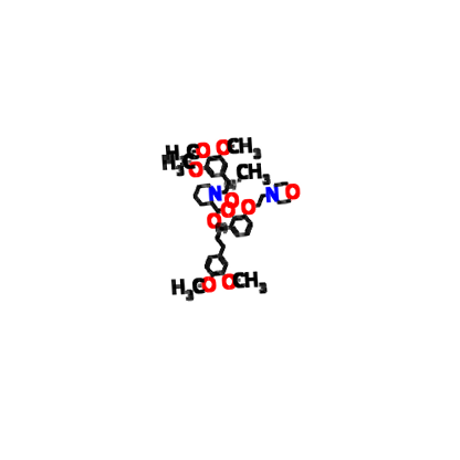 CC[C@H](C(=O)N1CCCCC1C(=O)O[C@H](CCc1ccc(OC)c(OC)c1)c1cccc(OCCN2CCOCC2)c1)c1cc(OC)c(OC)c(OC)c1